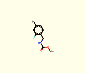 CCc1ccc(CNC(=O)OC(C)(C)C)c(F)c1